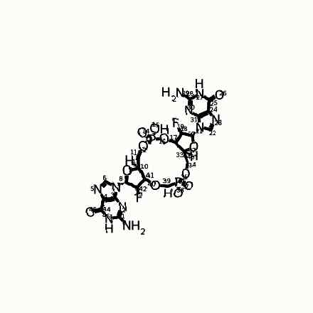 Nc1nc2c(ncn2[C@@H]2O[C@@H]3COP(=O)(O)OC4C(F)[C@H](n5cnc6c(=O)[nH]c(N)nc65)O[C@@H]4COP(=O)(O)COC3C2F)c(=O)[nH]1